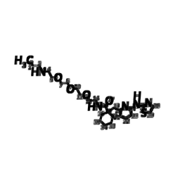 CCCNCCOCCOCCOCCNC(=O)C1(Cc2cccc(Nc3nccs3)n2)CCCCC1